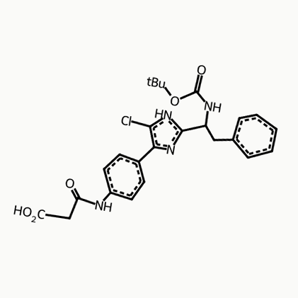 CC(C)(C)OC(=O)NC(Cc1ccccc1)c1nc(-c2ccc(NC(=O)CC(=O)O)cc2)c(Cl)[nH]1